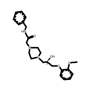 COc1ccccc1OC[C@H](O)CN1CCN(CC(=O)NCc2ccccc2)CC1